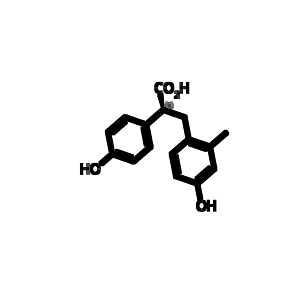 Cc1cc(O)ccc1C[C@H](C(=O)O)c1ccc(O)cc1